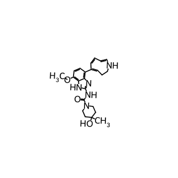 COc1ccc(C2=C\CCN/C=C/C=C\2)c2nc(NC(=O)N3CCC(C)(O)CC3)[nH]c12